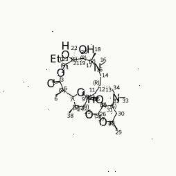 CC[C@H]1OC(=O)[C@H](C)C2O[C@](C)(C[C@@H](C)CN(C)[C@H](C)[C@@H](O)[C@]1(C)O)[C@H](O[C@@H]1O[C@H](C)C[C@H](N(C)C)[C@H]1O)[C@H]2C